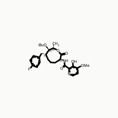 COc1ccnc(C(=O)N[C@H]2CCC[C@H](Cc3ccc(F)cc3)[C@@H](OCC(C)C)[C@H](C)OC2=O)c1O